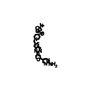 CN(C)C(=O)CS(=O)(=O)C1CCN(Cc2cc3nc(N4CCOC(c5cnc(N)nc5)C4)ncc3s2)CC1